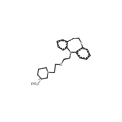 CCOC(=O)[C@@H]1CCCN(CCOCCN2c3ccccc3CCCc3ccccc32)C1